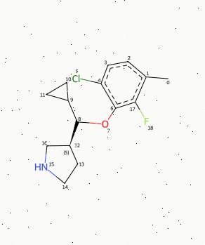 Cc1ccc(Cl)c(OC(C2CC2)[C@H]2CCNC2)c1F